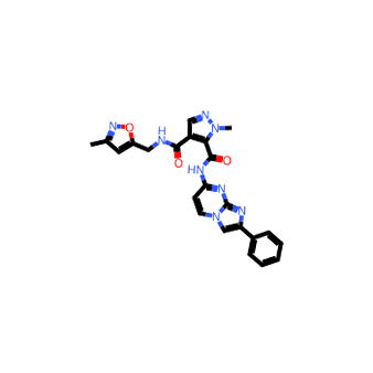 Cc1cc(CNC(=O)c2cnn(C)c2C(=O)Nc2ccn3cc(-c4ccccc4)nc3n2)on1